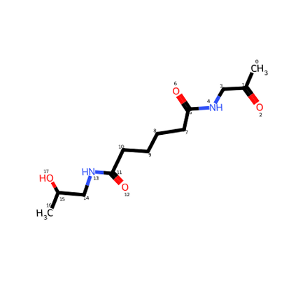 CC(=O)CNC(=O)CCCCC(=O)NCC(C)O